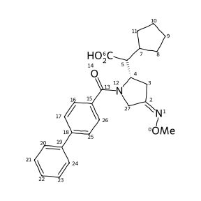 CON=C1C[C@@H](C(C(=O)O)C2CCCC2)N(C(=O)c2ccc(-c3ccccc3)cc2)C1